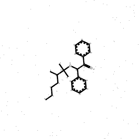 CCCCC(C)C(C)(C)OC(C(=O)c1ccccc1)c1ccccc1